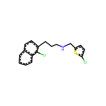 Clc1ccc(CNCCCc2ccc3ccccc3c2Cl)s1